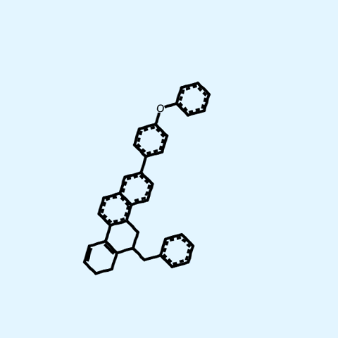 C1=CC2=C(CC1)C(Cc1ccccc1)Cc1c2ccc2cc(-c3ccc(Oc4ccccc4)cc3)ccc12